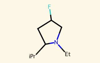 CCN1CC(F)CC1C(C)C